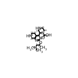 CC(CN(C)C)Oc1nc2c(c(C3CNCCN3C(=O)O)n1)CCNC2